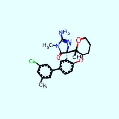 CN1C(=O)[C@]2(N=C1N)c1cc(-c3cc(Cl)cc(C#N)c3)ccc1OC1CCCOC12C